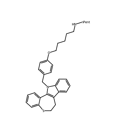 CCCCCNCCCCCOc1ccc(Cn2c3c(c4ccccc42)CCSc2ccccc2-3)cc1